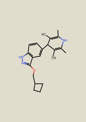 CC1=C(C#N)C(c2ccc3[nH]nc(OCC4CCC4)c3c2)C(C#N)=C(C)N1